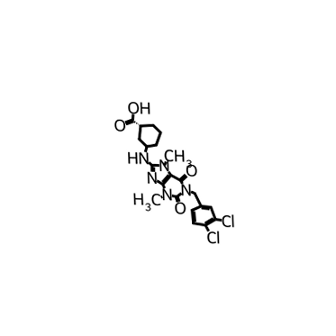 Cn1c(NC2CCC[C@@H](C(=O)O)C2)nc2c1c(=O)n(Cc1ccc(Cl)c(Cl)c1)c(=O)n2C